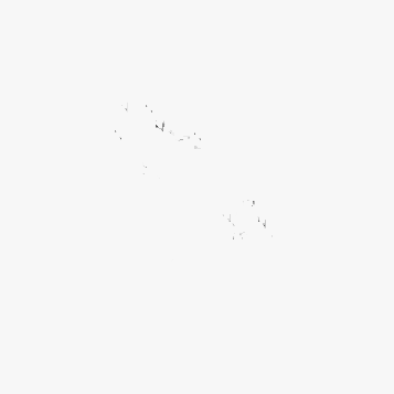 Cn1nnnc1Sc1cc(-c2ccccc2N2CC3CCC(CC3)C2)c([N+](=O)[O-])cc1C(N)=O